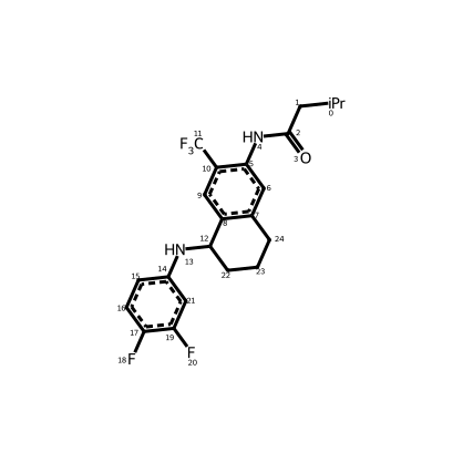 CC(C)CC(=O)Nc1cc2c(cc1C(F)(F)F)C(Nc1ccc(F)c(F)c1)CCC2